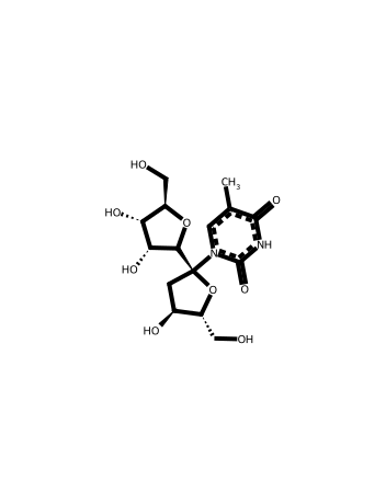 Cc1cn([C@@]2(C3O[C@H](CO)[C@@H](O)[C@H]3O)C[C@H](O)[C@@H](CO)O2)c(=O)[nH]c1=O